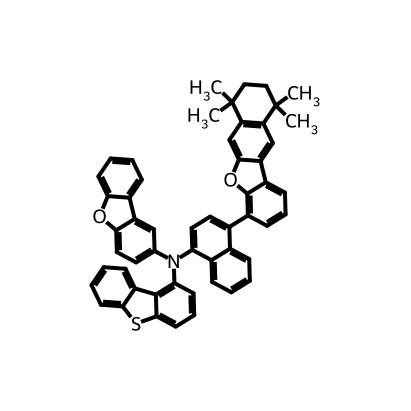 CC1(C)CCC(C)(C)c2cc3c(cc21)oc1c(-c2ccc(N(c4ccc5oc6ccccc6c5c4)c4cccc5sc6ccccc6c45)c4ccccc24)cccc13